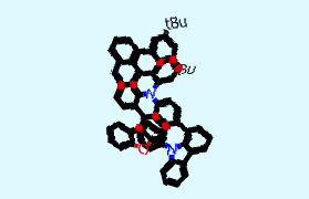 CC(C)(C)c1cc(-c2cccc3cccc(-c4ccccc4N(c4ccc(-c5cccc6c7ccccc7n(-c7ccccc7)c56)cc4)c4ccccc4-c4cccc5oc6ccccc6c45)c23)cc(C(C)(C)C)c1